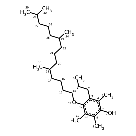 CCCc1c(C)c(O)c(C)c(C)c1OCCCCC(C)CCCC(C)CCCC(C)C